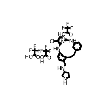 Clc1cnc2nc1Nc1ccc(CN[C@H]3CCNC3)c(c1)CCc1cccc(c1)N2.O=C(O)C(F)(F)F.O=C(O)C(F)(F)F.O=C(O)C(F)(F)F